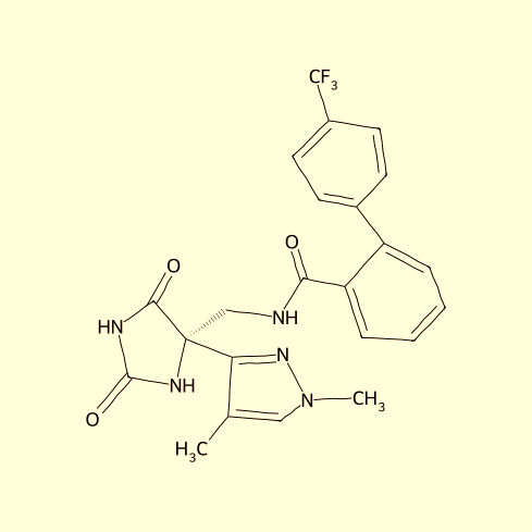 Cc1cn(C)nc1[C@@]1(CNC(=O)c2ccccc2-c2ccc(C(F)(F)F)cc2)NC(=O)NC1=O